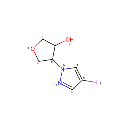 OC1COCC1n1cc(I)cn1